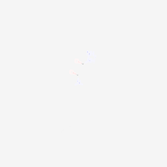 CC(C)CCCCC1CCN(C(=O)CC(=O)NN)CC1